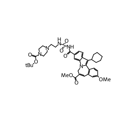 COC(=O)C1=Cc2cc(OC)ccc2-c2c(C3CCCCC3)c3ccc(C(=O)NS(=O)(=O)NCCN4CCN(C(=O)OC(C)(C)C)CC4)cc3n2C1